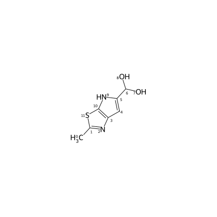 Cc1nc2cc(C(O)O)[nH]c2s1